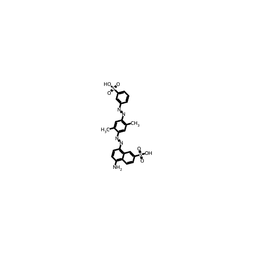 Cc1cc(/N=N/c2ccc(N)c3ccc(S(=O)(=O)O)cc23)c(C)cc1/N=N/c1cccc(S(=O)(=O)O)c1